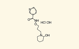 Cl.Cl.O=C(NOCCCN1CCCCC1O)c1cccnc1